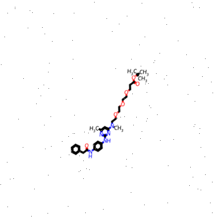 Cc1cc(N(C)CCOCCOCCOCCC(=O)OC(C)(C)C)nc(Nc2ccc(NC(=O)Cc3ccccc3)cc2)n1